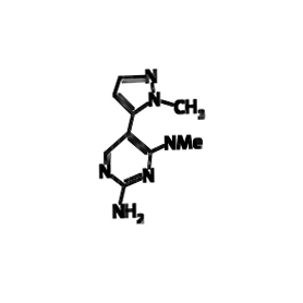 CNc1nc(N)ncc1-c1ccnn1C